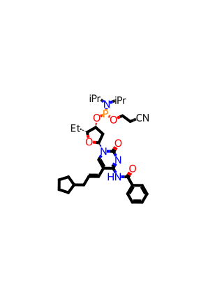 CC[C@H]1O[C@@H](n2cc(/C=C/CC3CCCC3)c(NC(=O)c3ccccc3)nc2=O)C[C@H]1OP(OCCC#N)N(C(C)C)C(C)C